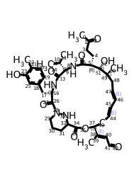 CC(=O)CC[C@H]1C(=O)N[C@@H](C(C)C)C(=O)N[C@@H](Cc2ccc(C)c(O)c2)C(=O)N2CCCC(N2)C(=O)O[C@H](/C(C)=C/C=O)C/C=C/C=C/C[C@H](C)[C@H]1O